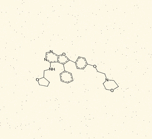 c1ccc(-c2c(-c3ccc(OCCN4CCOCC4)cc3)oc3ncnc(NCC4CCCO4)c23)cc1